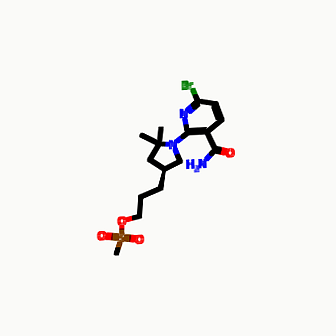 CC1(C)C[C@H](CCCOS(C)(=O)=O)CN1c1nc(Br)ccc1C(N)=O